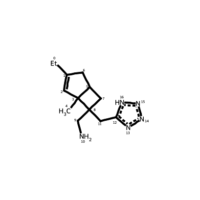 CCC1=CC2(C)C(C1)CC2(CN)Cc1nnn[nH]1